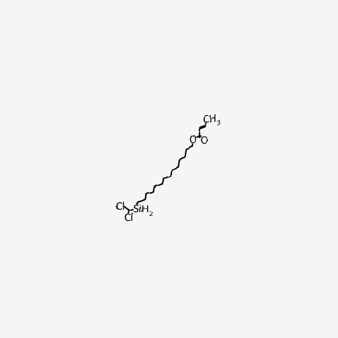 CC=CC(=O)OCCCCCCCCCCCCCC[SiH2]C(Cl)Cl